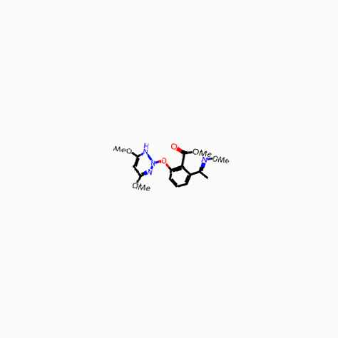 CON=C(C)c1cccc(ON2N=C(OC)C=C(OC)N2)c1C(=O)OC